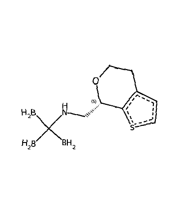 BC(B)(B)NC[C@@H]1OCCc2ccsc21